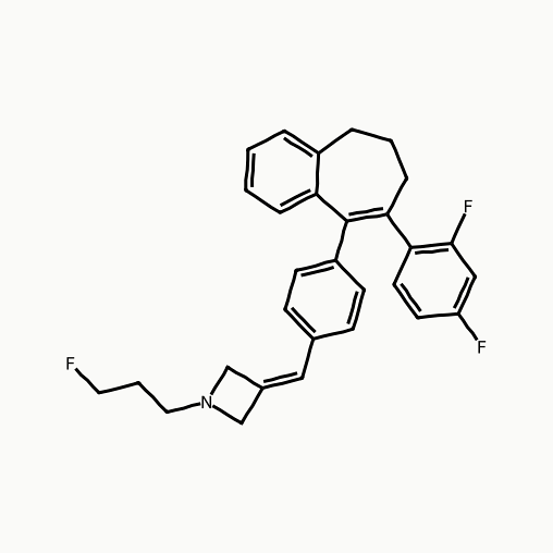 FCCCN1CC(=Cc2ccc(C3=C(c4ccc(F)cc4F)CCCc4ccccc43)cc2)C1